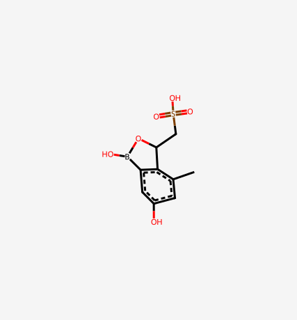 Cc1cc(O)cc2c1C(CS(=O)(=O)O)OB2O